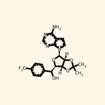 CC1(C)O[C@@H]2[C@H](O1)[C@@H](C(O)c1ccc(C(F)(F)F)cc1)O[C@H]2n1ccc2c(N)ncnc21